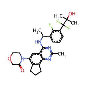 Cc1nc(NC(C)c2cccc(C(F)(F)C(C)(C)O)c2F)c2cc(N3CCOCC3=O)c3c(c2n1)CCC3